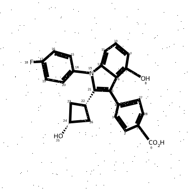 O=C(O)c1ccc(-c2c3c(O)cccc3n(-c3ccc(F)cc3)c2[C@H]2C[C@@H](O)C2)cc1